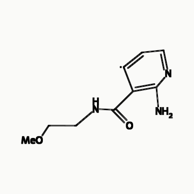 COCCNC(=O)c1[c]ccnc1N